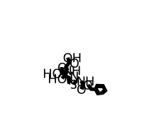 O=C(O)CNC(O)(C(=O)O)c1csc(NC(=O)OCc2ccccc2)n1